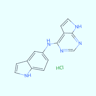 Cl.c1nc(Nc2ccc3[nH]ccc3c2)c2cc[nH]c2n1